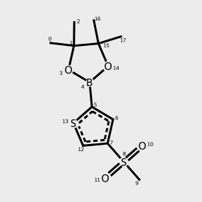 CC1(C)OB(c2cc(S(C)(=O)=O)cs2)OC1(C)C